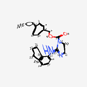 COc1ccc(COC(=O)N2CCN=C2Nc2cccc3c2CCC3)cc1